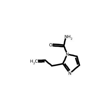 C=CCc1nccn1C(N)=O